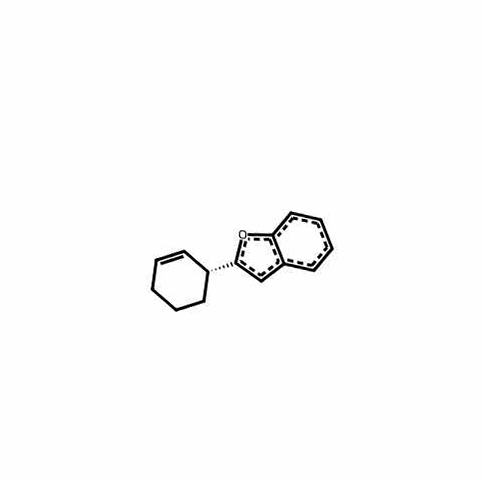 C1=C[C@H](c2cc3ccccc3o2)CCC1